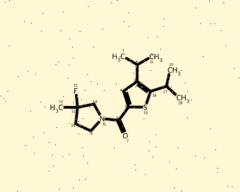 CC(C)c1cc(C(=O)N2CCC(C)(F)C2)sc1C(C)C